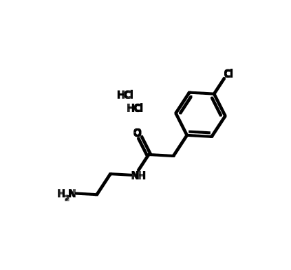 Cl.Cl.NCCNC(=O)Cc1ccc(Cl)cc1